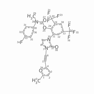 Cc1ccc(C#Cn2ccn(-c3cc(C(F)(F)F)cc(C(F)(F)F)c3OC(=O)N(C)c3ccc(F)cc3)c2=O)o1